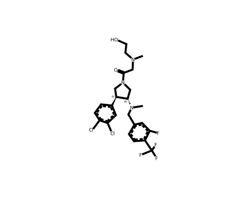 CN(CCO)CC(=O)N1C[C@H](c2ccc(Cl)c(Cl)c2)[C@@H](N(C)Cc2ccc(C(F)(F)F)c(F)c2)C1